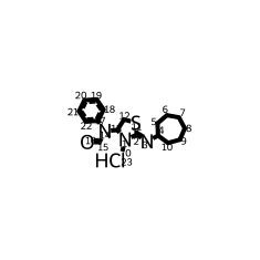 CN1C(=NC2CCCCCC2)SCC1N(C=O)c1ccccc1.Cl